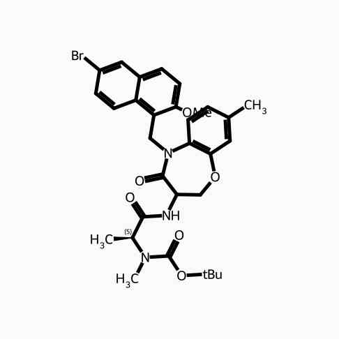 COc1ccc2cc(Br)ccc2c1CN1C(=O)C(NC(=O)[C@H](C)N(C)C(=O)OC(C)(C)C)COc2cc(C)ccc21